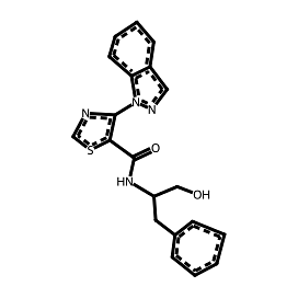 O=C(NC(CO)Cc1ccccc1)c1scnc1-n1ncc2ccccc21